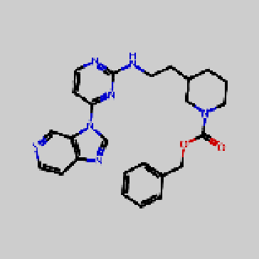 O=C(OCc1ccccc1)N1CCCC(CCNc2nccc(-n3cnc4ccncc43)n2)C1